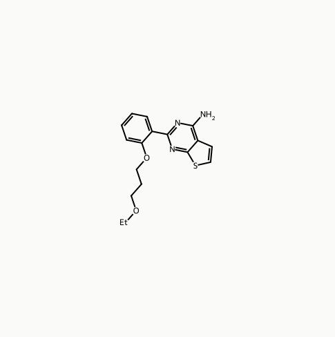 CCOCCCOc1ccccc1-c1nc(N)c2ccsc2n1